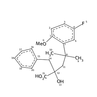 COc1ccc(F)cc1C(C)(C)CC(O)(Cc1ccccc1)C(=O)O